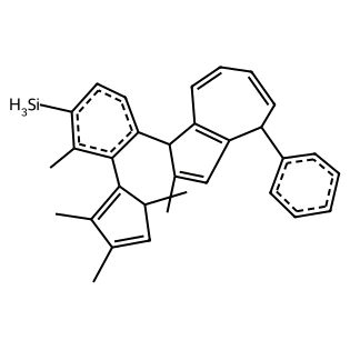 CC1=CC(C)C(c2c(C3C(C)=CC4=C3C=CC=CC4c3ccccc3)ccc([SiH3])c2C)=C1C